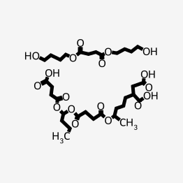 CCCC(OC(=O)CCC(=O)O)OC(=O)CCC(=O)OC(C)CCCC(CC(=O)O)C(=O)O.O=C(CCC(=O)OCCCCO)OCCCCO